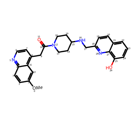 COc1ccc2nccc(CC(=O)N3CCC(NCc4ccc5cccc(O)c5n4)CC3)c2c1